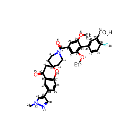 CCOc1cc(C(=O)N2CCC3(CC2)CC(=O)c2cc(-c4cnn(C)c4)ccc2O3)cc(OCC)c1-c1ccc(F)c(C(=O)O)c1